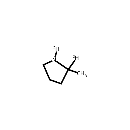 [2H]N1CCCC1([2H])C